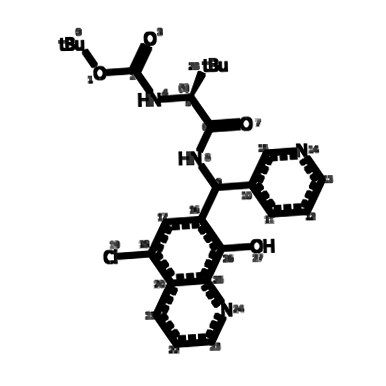 CC(C)(C)OC(=O)N[C@H](C(=O)NC(c1cccnc1)c1cc(Cl)c2cccnc2c1O)C(C)(C)C